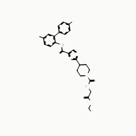 CCOC(=O)CNC(=O)N1CCC(c2nc(C(=O)Nc3ccc(F)cc3-c3ccc(Cl)cc3)cs2)CC1